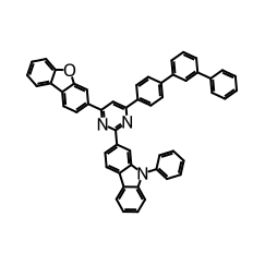 c1ccc(-c2cccc(-c3ccc(-c4cc(-c5ccc6c(c5)oc5ccccc56)nc(-c5ccc6c7ccccc7n(-c7ccccc7)c6c5)n4)cc3)c2)cc1